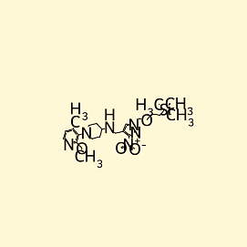 COc1nccc(C)c1N1CCC(NCc2cn(COCC[Si](C)(C)C)nc2[N+](=O)[O-])CC1